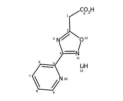 O=C(O)Cc1nc(-c2ccccn2)no1.[LiH]